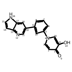 O=c1ccn(-c2cccc(-c3cnc4cc[nH]c4c3)c2)cc1O